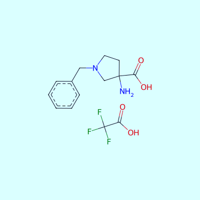 NC1(C(=O)O)CCN(Cc2ccccc2)C1.O=C(O)C(F)(F)F